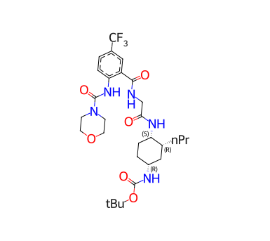 CCC[C@@H]1C[C@H](NC(=O)OC(C)(C)C)CC[C@@H]1NC(=O)CNC(=O)c1cc(C(F)(F)F)ccc1NC(=O)N1CCOCC1